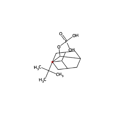 CC(C)(C)CC1C2CC3CC1CC(C2)C3OP(=O)(O)O